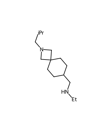 CCNCC1CCC2(CC1)CN(CC(C)C)C2